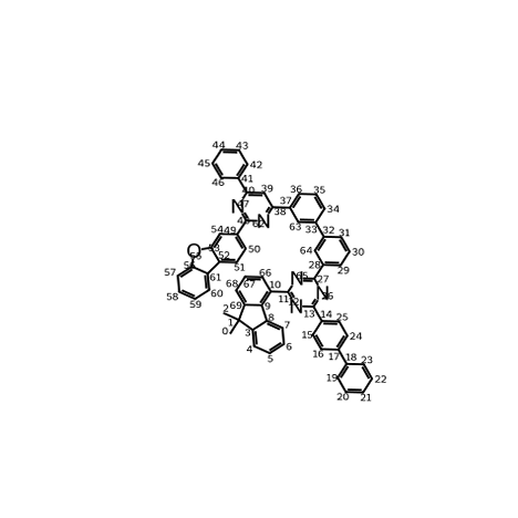 CC1(C)c2ccccc2-c2c(-c3nc(-c4ccc(-c5ccccc5)cc4)nc(-c4cccc(-c5cccc(-c6cc(-c7ccccc7)nc(-c7ccc8c(c7)oc7ccccc78)n6)c5)c4)n3)cccc21